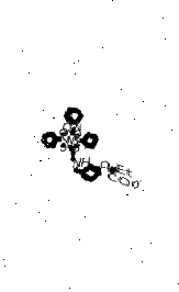 CCC(Oc1cccc(CNCCC[N+](c2nc3ccccc3o2)(S(=O)(=O)c2ccccc2)S(=O)(=O)c2ccccc2)c1)C(=O)[O-]